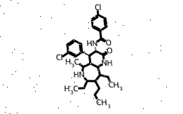 CCCC1C(CC)NC(C)C2C(NC(=O)[C@@H](NC(=O)c3ccc(Cl)cc3)[C@@H]2c2cccc(Cl)c2)C1CC